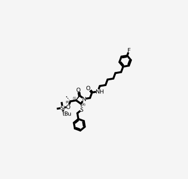 C[C@@H](O[Si](C)(C)C(C)(C)C)[C@H]1C(=O)N(CC(=O)NCCCCCCc2ccc(F)cc2)[C@@H]1SCc1ccccc1